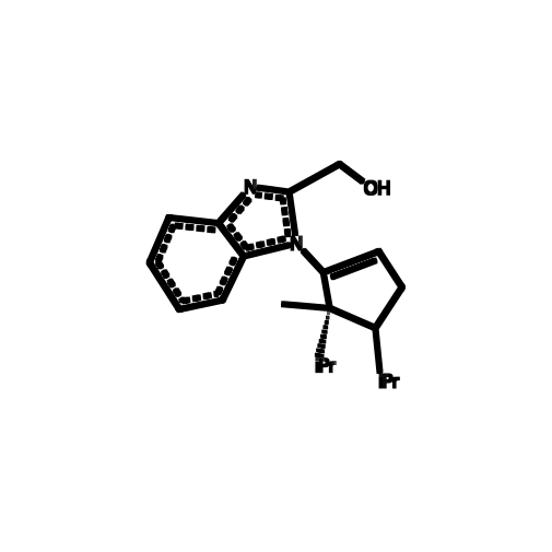 CC(C)C1CC=C(n2c(CO)nc3ccccc32)[C@@]1(C)C(C)C